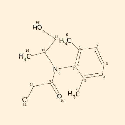 Cc1cccc(C)c1N(C(=O)CCl)C(C)CO